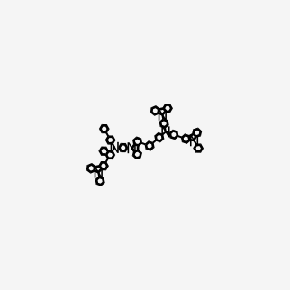 c1ccc(-c2ccc(N(c3ccc(-n4c5ccccc5c5c(-c6cccc(-c7ccc(N(c8ccc(-c9ccc%10c(c9)c9ccccc9n%10-c9ccccc9)cc8)c8ccc(-n9c%10ccccc%10c%10ccccc%109)cc8)cc7)c6)cccc54)cc3)c3ccc(-c4ccc5c(c4)c4ccccc4n5-c4ccccc4)c4ccccc34)cc2)cc1